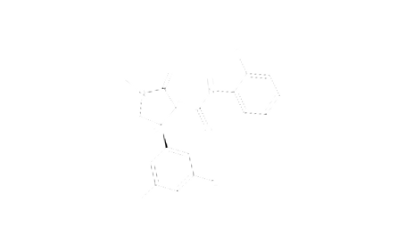 CCc1cc(CC)cc([C@H]2CN(C)C(=O)[C@@H]2C(=O)Nc2ccccc2F)c1